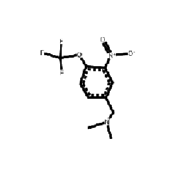 CN(C)Cc1ccc(OC(F)(F)F)c([N+](=O)[O-])c1